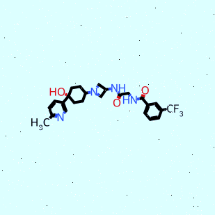 Cc1ccc(C2(O)CCC(N3CC(NC(=O)CNC(=O)c4cccc(C(F)(F)F)c4)C3)CC2)cn1